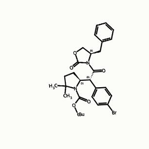 CC(C)(C)OC(=O)N1[C@H]([C@H](C(=O)N2C(=O)OC[C@H]2Cc2ccccc2)c2ccc(Br)cc2)CCC1(C)C